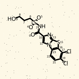 O=C(NS(=O)(=O)CCCO)c1cn2c(n1)sc1c(Cl)c(Cl)ccc12